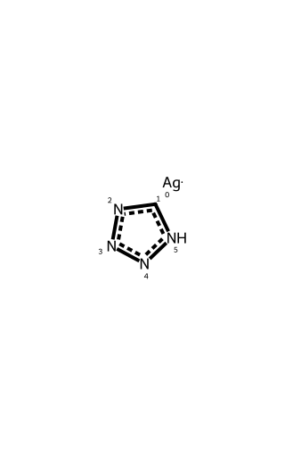 [Ag].c1nnn[nH]1